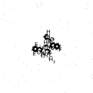 CCCC1CN(C(Cc2cc(F)ccc2F)C(=O)NC)CCN1C(=O)C(Cc1ccc(F)cc1)NC(=O)C1CCCN1